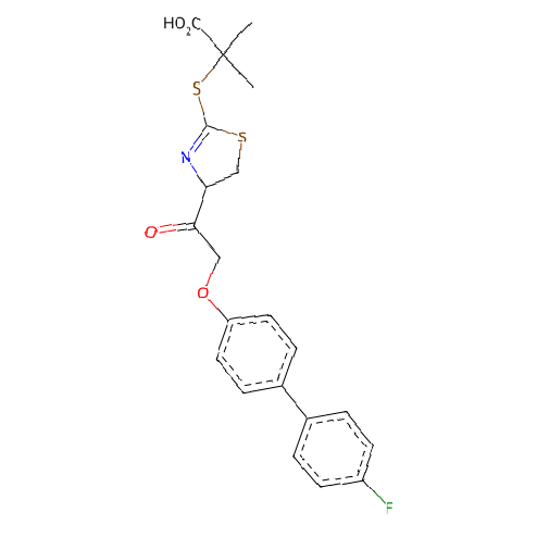 CC(C)(SC1=NC(C(=O)COc2ccc(-c3ccc(F)cc3)cc2)CS1)C(=O)O